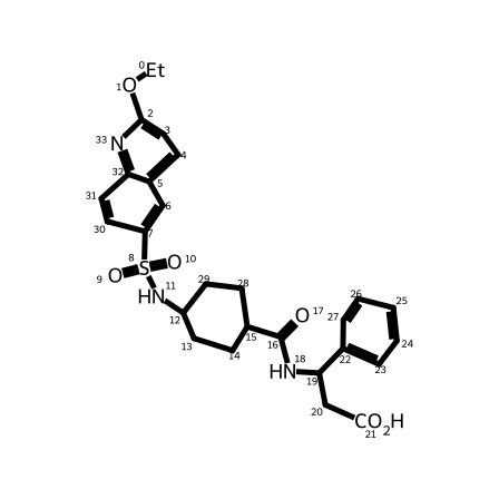 CCOc1ccc2cc(S(=O)(=O)NC3CCC(C(=O)NC(CC(=O)O)c4ccccc4)CC3)ccc2n1